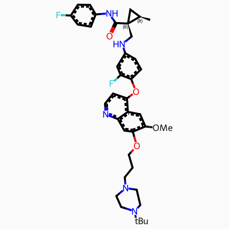 COc1cc2c(Oc3ccc(NC[C@@]4(C(=O)Nc5ccc(F)cc5)C[C@H]4C)cc3F)ccnc2cc1OCCCN1CCN(C(C)(C)C)CC1